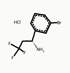 Cl.N[C@H](CC(F)(F)F)c1cccc(Br)c1